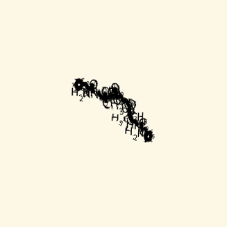 CC(C)(CCNC(=O)[C@@H](N)Cc1ccccc1)COS(=O)(=O)CCCS(=O)(=O)OCC(C)(C)CCNC(=O)[C@@H](N)Cc1ccccc1